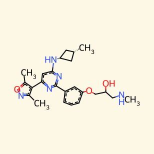 CNCC(O)COc1cccc(-c2nc(N[C@H]3C[C@@H](C)C3)cc(-c3c(C)noc3C)n2)c1